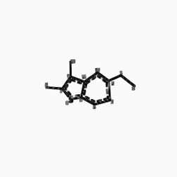 CCc1ccc2sc(C)c(C)c2c1